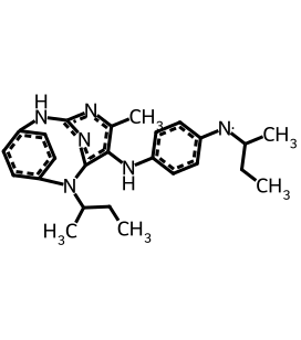 CCC(C)[N]c1ccc(Nc2c(C)nc3nc2N(C(C)CC)c2ccc(cc2)N3)cc1